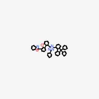 c1ccc(-c2nc(-c3cccc4c3-c3ccccc3C4(c3ccccc3)c3ccccc3)nc(-c3cccc4oc5c(-c6nc7ccccc7o6)cccc5c34)n2)cc1